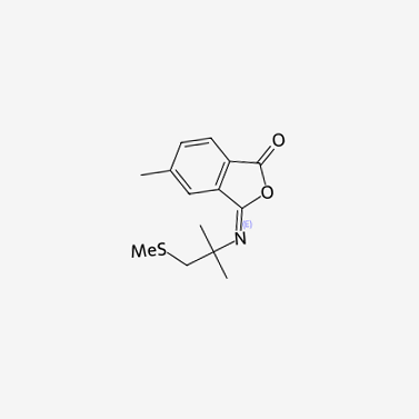 CSCC(C)(C)/N=C1/OC(=O)c2ccc(C)cc21